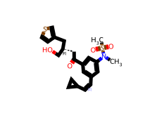 CN(c1cc(/C=C\C2CC2)cc(C(=O)C[C@H](CO)Cc2ccsc2)c1)S(C)(=O)=O